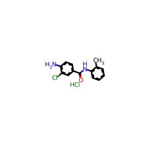 Cc1ccccc1NC(=O)c1ccc(N)c(Cl)c1.Cl